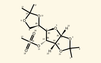 CC1(C)O[C@H]2O[C@H]([C@H]3COC(C)(C)O3)[C@@H](OS(C)(=O)=O)[C@H]2O1